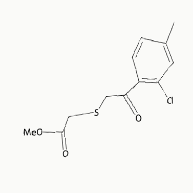 COC(=O)CSCC(=O)c1ccc(C)cc1Cl